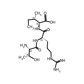 CC[C@H](C)[C@H](NC(=O)[C@H](CCCNC(=N)N)NC(=O)[C@@H](N)[C@@H](C)O)C(=O)O